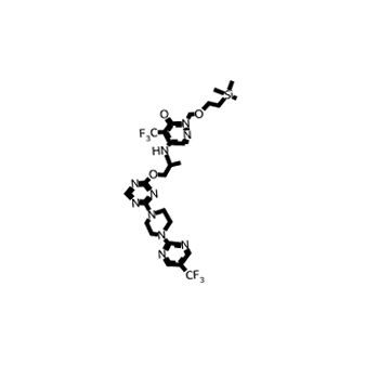 CC(COc1ncnc(N2CCN(c3ncc(C(F)(F)F)cn3)CC2)n1)Nc1cnn(COCC[Si](C)(C)C)c(=O)c1C(F)(F)F